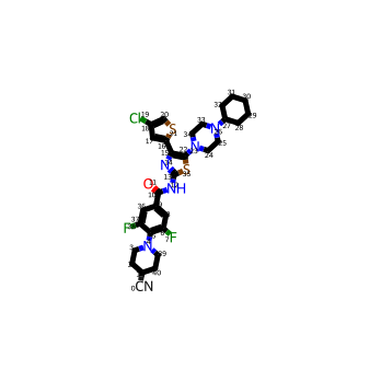 N#CC1CCN(c2c(F)cc(C(=O)Nc3nc(-c4cc(Cl)cs4)c(N4CCN(C5CCCCC5)CC4)s3)cc2F)CC1